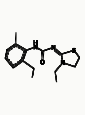 CCc1cccc(C)c1NC(=O)N=C1SCCN1CC